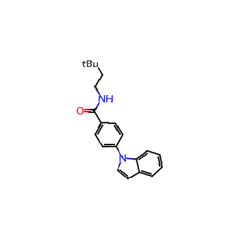 CC(C)(C)CCNC(=O)c1ccc(-n2ccc3ccccc32)cc1